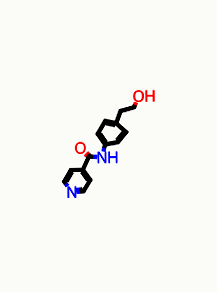 O=C(Nc1ccc(CCO)cc1)c1ccncc1